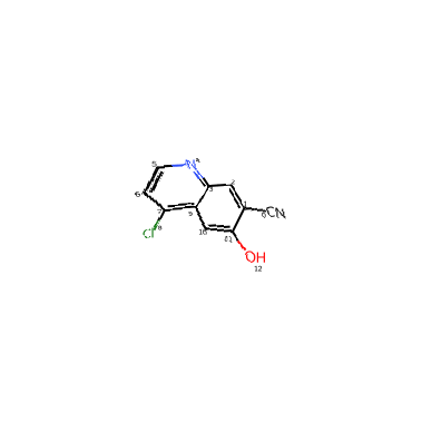 N#Cc1cc2nccc(Cl)c2cc1O